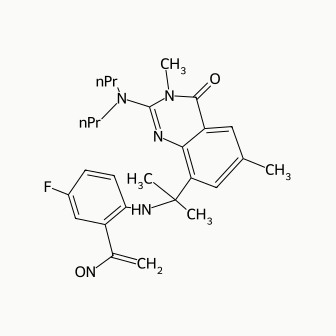 C=C(N=O)c1cc(F)ccc1NC(C)(C)c1cc(C)cc2c(=O)n(C)c(N(CCC)CCC)nc12